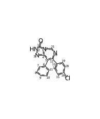 O=c1[nH]nc2c(-c3ccccc3)c(-c3ccc(Cl)cc3)ncn12